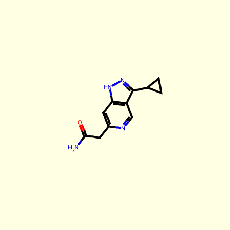 NC(=O)Cc1cc2[nH]nc(C3CC3)c2cn1